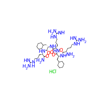 Cl.N=C(N)NCCC[C@H](N)C(=O)N[C@@H](CC1CCCCC1)C(=O)N[C@H](CCCNC(=N)N)C(=O)N[C@@H](CC1CCCCC1)C(=O)N[C@H](CCCNC(=N)N)C(N)=O